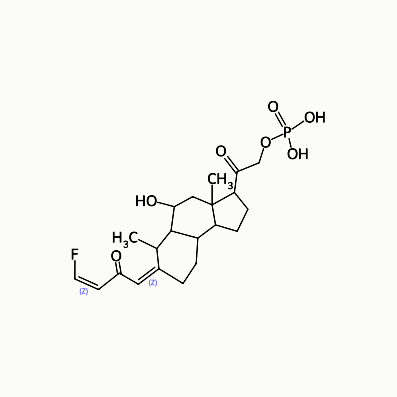 CC1/C(=C\C(=O)/C=C\F)CCC2C1C(O)CC1(C)C(C(=O)COP(=O)(O)O)CCC21